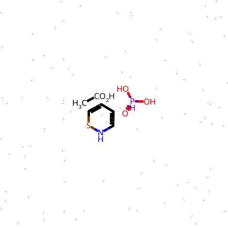 C1=CNSC=C1.CC(=O)O.O=[PH](O)O